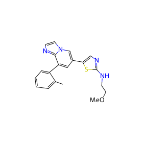 COCCNc1ncc(-c2cc(-c3ccccc3C)c3nccn3c2)s1